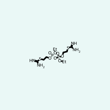 CCOP(=O)(OCCSC(=N)N)OP(=O)(OCC)OCCSC(=N)N